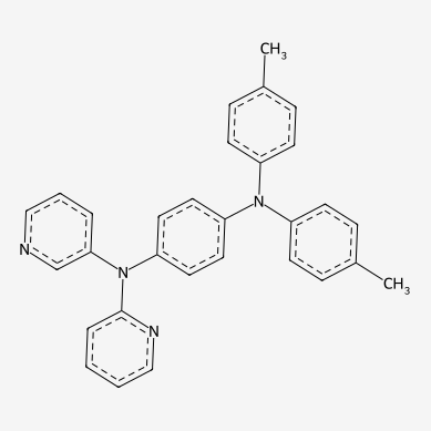 Cc1ccc(N(c2ccc(C)cc2)c2ccc(N(c3cccnc3)c3ccccn3)cc2)cc1